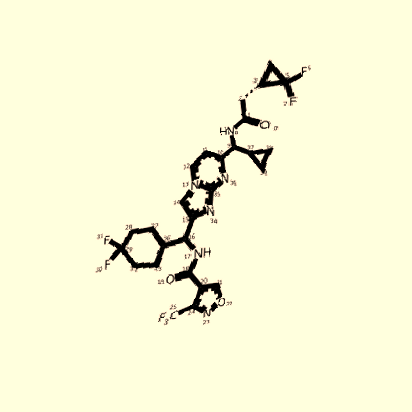 O=C(C[C@@H]1CC1(F)F)NC(c1ccn2cc(C(NC(=O)c3conc3C(F)(F)F)C3CCC(F)(F)CC3)nc2n1)C1CC1